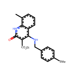 CCOC(=O)c1c(NCc2ccc(SC)cc2)c2cccc(C)c2[nH]c1=O